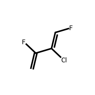 C=C(F)C(Cl)=CF